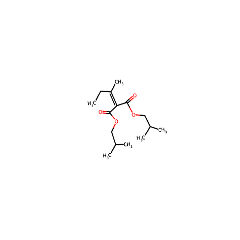 CCC(C)=C(C(=O)OCC(C)C)C(=O)OCC(C)C